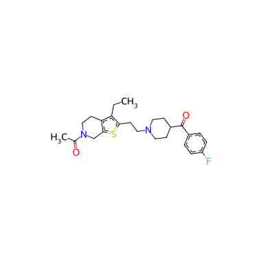 CCc1c(CCN2CCC(C(=O)c3ccc(F)cc3)CC2)sc2c1CCN(C(C)=O)C2